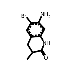 CC1Cc2cc(Br)c(N)cc2NC1=O